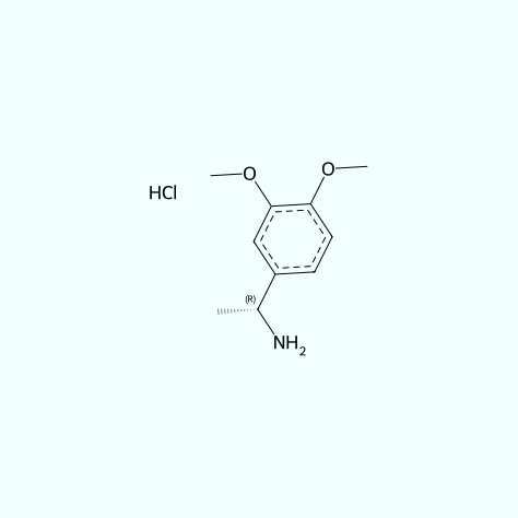 COc1ccc([C@@H](C)N)cc1OC.Cl